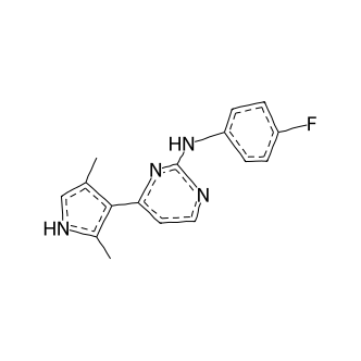 Cc1c[nH]c(C)c1-c1ccnc(Nc2ccc(F)cc2)n1